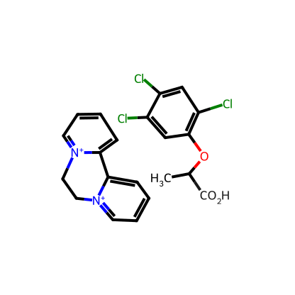 CC(Oc1cc(Cl)c(Cl)cc1Cl)C(=O)O.c1cc[n+]2c(c1)-c1cccc[n+]1CC2